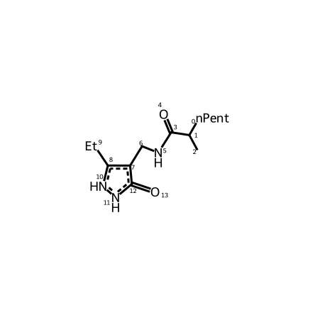 CCCCCC(C)C(=O)NCc1c(CC)[nH][nH]c1=O